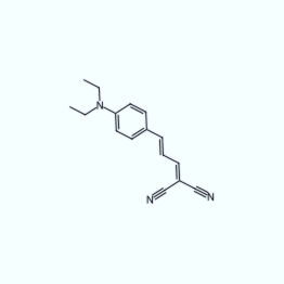 CCN(CC)c1ccc(/C=C/C=C(C#N)C#N)cc1